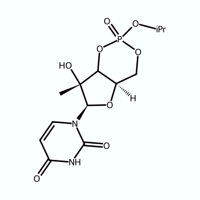 CC(C)OP1(=O)OC[C@H]2O[C@@H](n3ccc(=O)[nH]c3=O)[C@](C)(O)C2O1